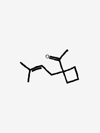 CC(=O)C1(CC=C(C)C)CCC1